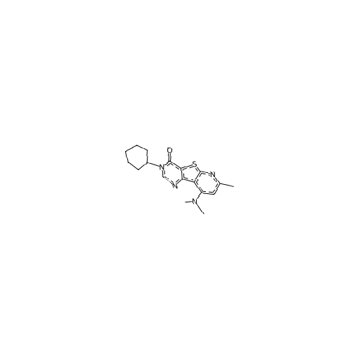 Cc1cc(N(C)C)c2c(n1)sc1c(=O)n(C3CCCCC3)cnc12